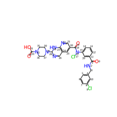 O=C(NCc1cccc(Cl)c1)c1cccc(N(Cl)C(=O)c2cnc3c(c2)C=NC(N2CCN(C(=O)O)CC2)N3)c1